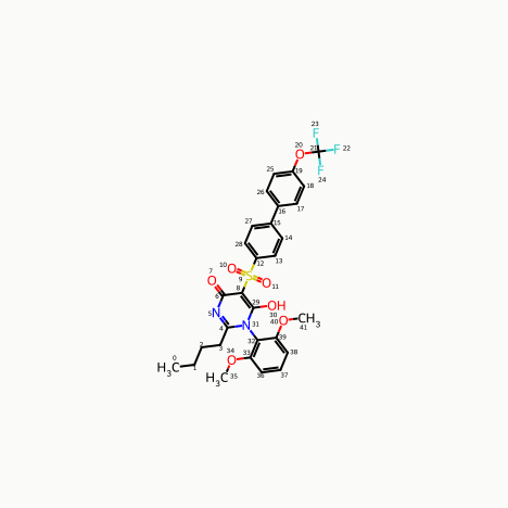 CCCCc1nc(=O)c(S(=O)(=O)c2ccc(-c3ccc(OC(F)(F)F)cc3)cc2)c(O)n1-c1c(OC)cccc1OC